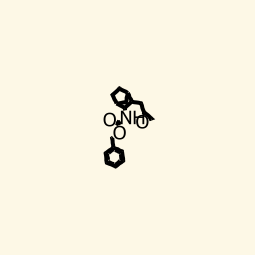 O=C(NC1C2CCC(C2)C1CC1CO1)OCc1ccccc1